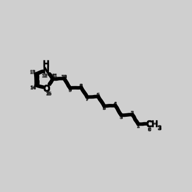 CCCCCCCCCCCC1NC=CO1